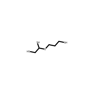 SCCCSC(S)CS